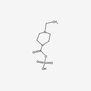 CCN1CCN(C(=O)OS(=O)(=O)O)CC1